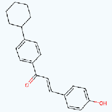 O=C(/C=C/c1ccc(O)cc1)c1ccc(C2CCCCC2)cc1